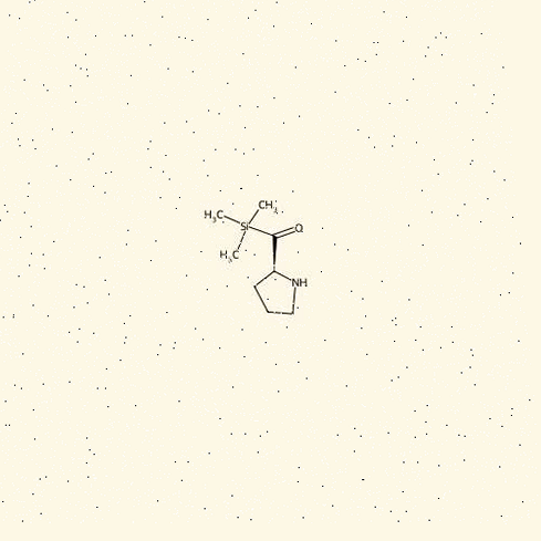 C[Si](C)(C)C(=O)[C@@H]1CCCN1